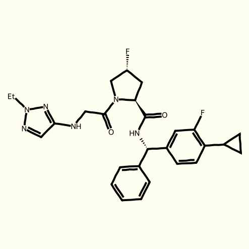 CCn1ncc(NCC(=O)N2C[C@H](F)C[C@H]2C(=O)N[C@@H](c2ccccc2)c2ccc(C3CC3)c(F)c2)n1